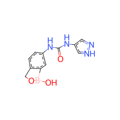 O=C(Nc1cn[nH]c1)Nc1ccc2c(c1)B(O)OC2